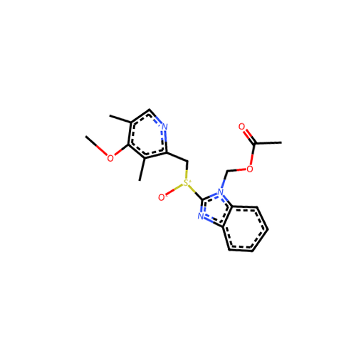 COc1c(C)cnc(C[S+]([O-])c2nc3ccccc3n2COC(C)=O)c1C